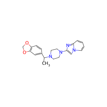 CC(c1ccc2c(c1)OCO2)N1CCN(c2cn3ccccc3n2)CC1